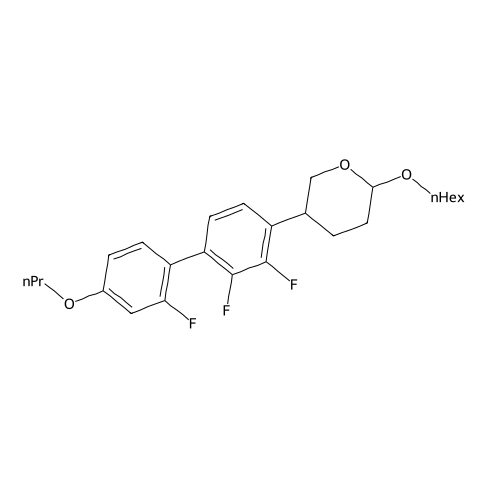 CCCCCCOC1CCC(c2ccc(-c3ccc(OCCC)cc3F)c(F)c2F)CO1